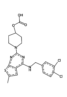 Cc1cc2c(NCc3ccc(Cl)c(Cl)c3)nc(N3CCC(OC(=O)O)CC3)nc2s1